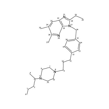 CCCC(C)N1CCN(CCCc2ccc(Cn3c(CC)nc4cc(C)c(C)nc43)cc2)CC1